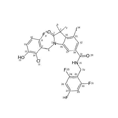 CC1(C)C(=O)N(Cc2c(F)ccc(O)c2Cl)c2cc(C(=O)NCc3c(F)cc(F)cc3F)cc(I)c21